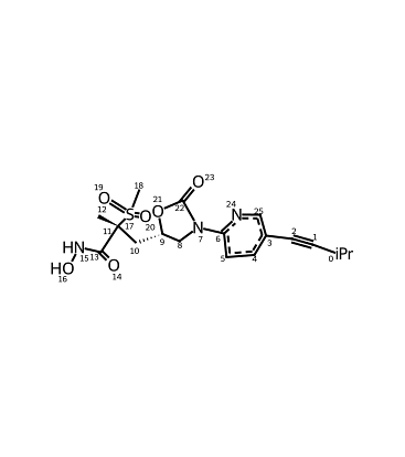 CC(C)C#Cc1ccc(N2C[C@H](C[C@](C)(C(=O)NO)S(C)(=O)=O)OC2=O)nc1